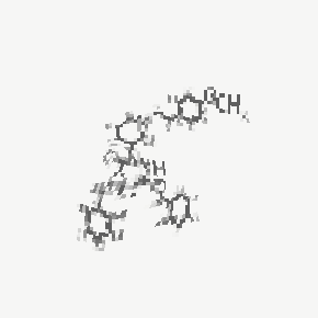 COc1ccc(CCN2CCCC(N(NC(=O)OCc3ccccc3)C(=O)OCc3ccccc3)C2)cc1